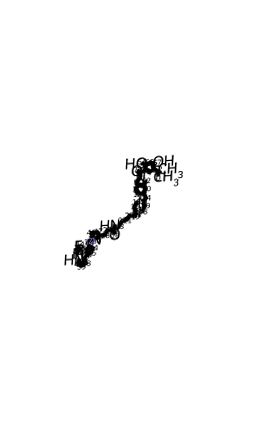 CC(C)c1cc(C(=O)N2Cc3ccc(CN4CCN(CCCCCNC(=O)CCC5=N/C(=C\c6ccc(-c7ccc[nH]7)n6B(F)F)C=C5)CC4)cc3C2)c(O)cc1O